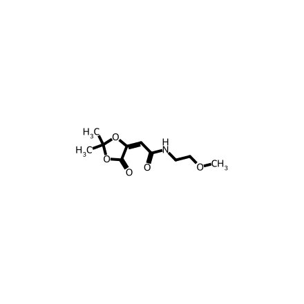 COCCNC(=O)C=C1OC(C)(C)OC1=O